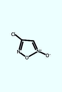 [O-][n+]1cc(Cl)no1